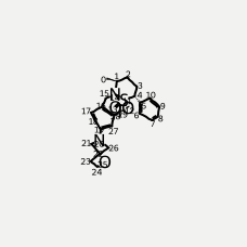 C[C@H]1CC[C@H](c2ccccc2)S(=O)(=O)N1Cc1ccc(N2CC3(CCO3)C2)cc1F